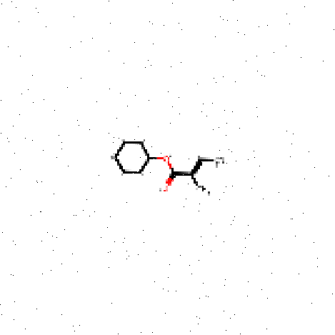 CC(=CC#N)C(=O)OC1CCCCC1